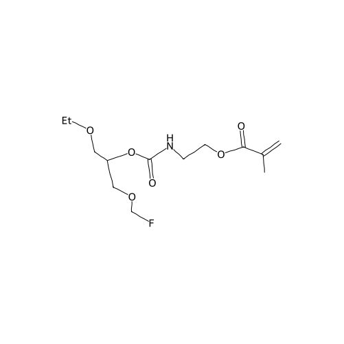 C=C(C)C(=O)OCCNC(=O)OC(COCC)COCF